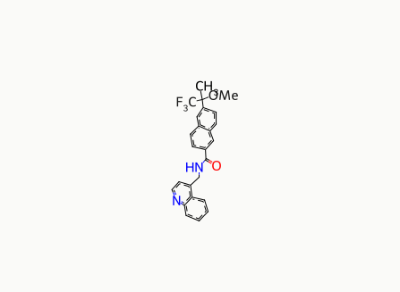 COC(C)(c1ccc2cc(C(=O)NCc3ccnc4ccccc34)ccc2c1)C(F)(F)F